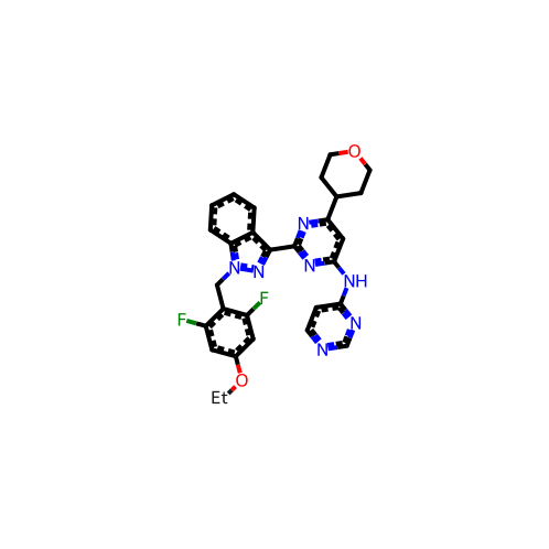 CCOc1cc(F)c(Cn2nc(-c3nc(Nc4ccncn4)cc(C4CCOCC4)n3)c3ccccc32)c(F)c1